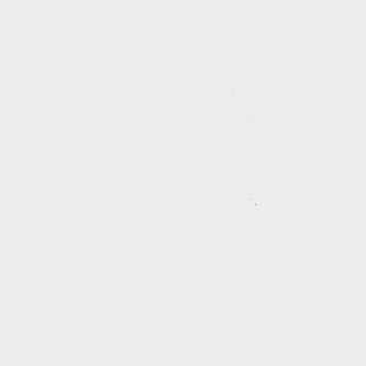 COc1cccc(-c2c(CC(=O)O)c(C)nc3sc4c(c23)CCCC4)c1